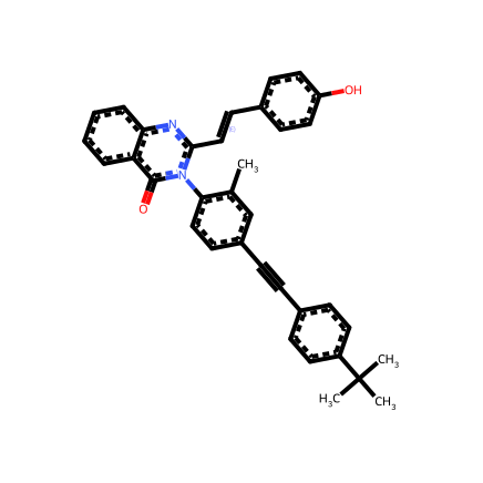 Cc1cc(C#Cc2ccc(C(C)(C)C)cc2)ccc1-n1c(/C=C/c2ccc(O)cc2)nc2ccccc2c1=O